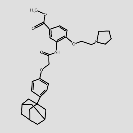 COC(=O)c1ccc(OCCN2CCCC2)c(NC(=O)COc2ccc(C34CC5CC(CC(C5)C3)C4)cc2)c1